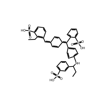 CCc1c([C]=c2ccc(=C(c3ccc(NC(CC)c4cccc(S(=O)(=O)O)c4)cc3)c3ccccc3S(=O)(=O)O)cc2)cccc1S(=O)(=O)O